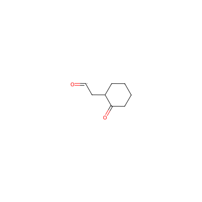 O=[C]CC1CCCCC1=O